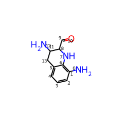 Nc1cccc2c1NC(C=O)C(N)C2